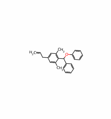 C=CCc1cc(C)c([C](Oc2ccccc2)c2ccccc2)c(C)c1